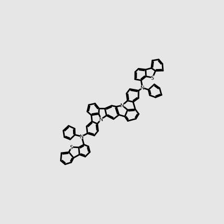 c1ccc(N(c2ccc3c(c2)c2cccc4c5cc6c(cc5n3c24)c2cccc3c4cc(N(c5ccccc5)c5cccc7c5sc5ccccc57)ccc4n6c32)c2cccc3c2sc2ccccc23)cc1